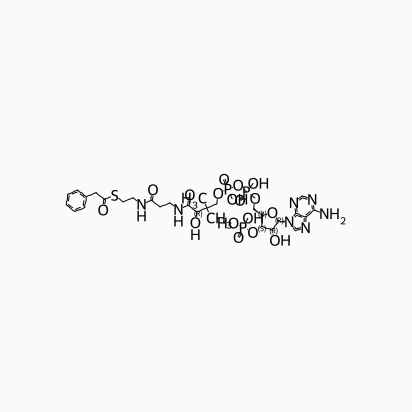 CC(C)(COP(=O)(O)OP(=O)(O)OC[C@H]1O[C@@H](n2cnc3c(N)ncnc32)[C@H](O)[C@@H]1OP(=O)(O)O)[C@@H](O)C(=O)NCCC(=O)NCCSC(=O)Cc1ccccc1